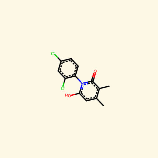 Cc1cc(O)n(-c2ccc(Cl)cc2Cl)c(=O)c1C